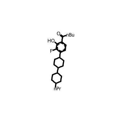 CCCCC(=O)c1ccc(C2CCC(C3CCC(CCC)CC3)CC2)c(F)c1O